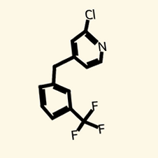 FC(F)(F)c1cccc(Cc2ccnc(Cl)c2)c1